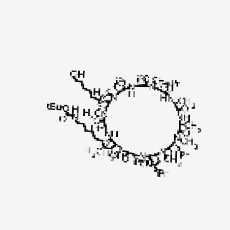 CC[C@@H]1NC(=O)[C@H]([C@H](O)[C@H](C)CCCCCCNC(=O)OC(C)(C)C)N(C)C(=O)[C@H](C(C)C)N(C)C(=O)[C@H](CCC(C)C)N(C)C(=O)[C@H](CC(C)C)N(C)C(=O)[C@H](C)NC(=O)[C@@H](C)NC(=O)[C@@H](CC(C)C)N(C)C(=O)[C@@H](C(C)C)NC(=O)[C@H](CC(C)C)N(C)C(=O)[C@@H](SCCCCCCO)N(C)C1=O